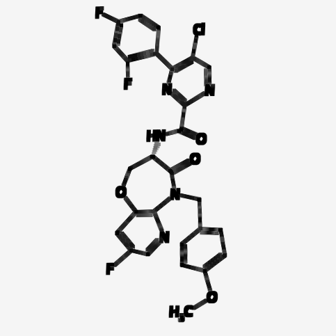 COc1ccc(CN2C(=O)[C@@H](NC(=O)c3ncc(Cl)c(-c4ccc(F)cc4F)n3)COc3cc(F)cnc32)cc1